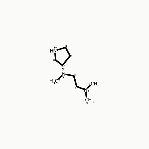 CN(C)CCN(C)[C@H]1CCNC1